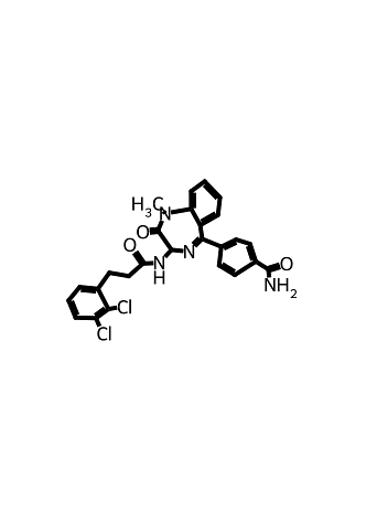 CN1C(=O)C(NC(=O)CCc2cccc(Cl)c2Cl)N=C(c2ccc(C(N)=O)cc2)c2ccccc21